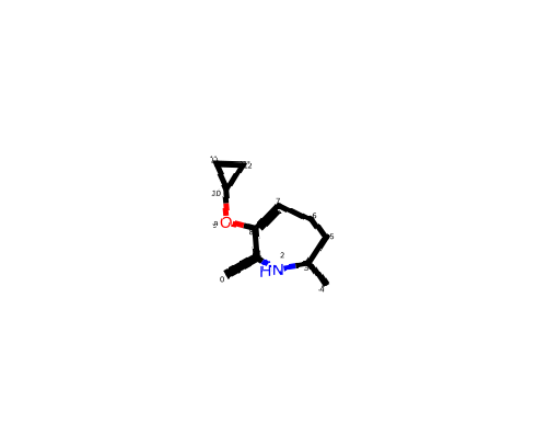 C=C1NC(C)CCC=C1OC1CC1